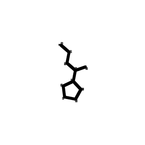 [CH2]CCC(C)C1CCCC1